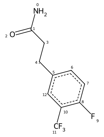 NC(=O)C[CH]c1ccc(F)c(C(F)(F)F)c1